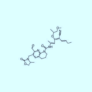 CC/C=C/C(C#N)=C(\C=C(/C)NC(=O)N1CCCc2cc(CN3C(=O)OCC3C)c(C=O)nc21)OC(C)COC